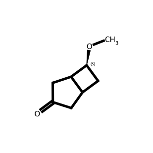 CO[C@H]1CC2CC(=O)CC21